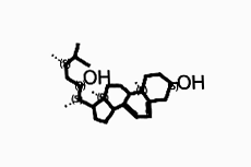 CC(C)[C@@H](C)C[C@@H](O)[C@@H](C)C1CCC2C3=CC=C4C[C@@H](O)CC[C@]4(C)C3CC[C@@]21C